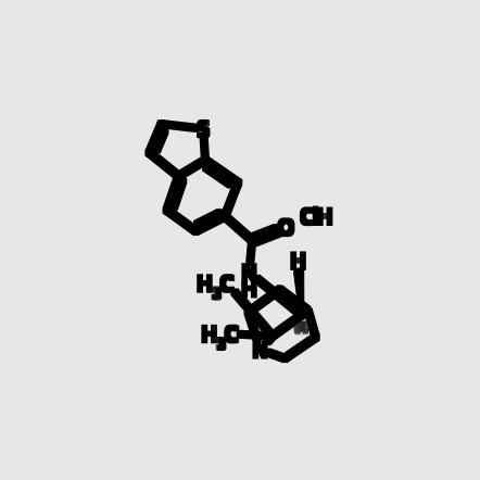 CC1(C)[C@H](NC(=O)c2ccc3ccsc3c2)C2CCN1CC2.Cl